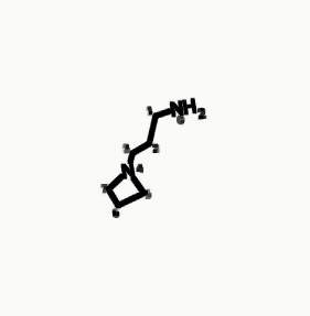 NCCCN1CCC1